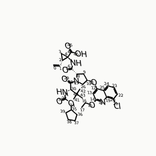 C=C[C@@H]1C[C@]1(NC(=O)[C@@H]1C[C@@H](Oc2cc(OCC)nc3c(Cl)cccc23)CN1C(=O)[C@@H](NC(=O)OC1CCCC1)C(C)(C)C)C(=O)O